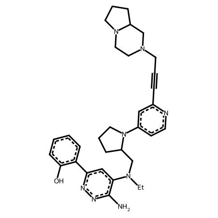 CCN(CC1CCCN1c1ccnc(C#CCN2CCN3CCCC3C2)c1)c1cc(-c2ccccc2O)nnc1N